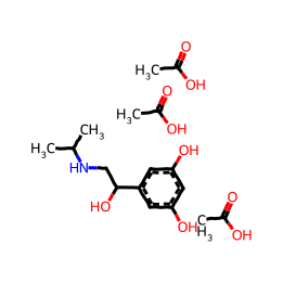 CC(=O)O.CC(=O)O.CC(=O)O.CC(C)NCC(O)c1cc(O)cc(O)c1